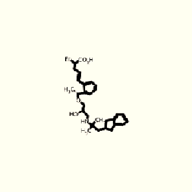 CCC(CC=Cc1ccccc1[C@@H](C)OC[C@H](O)CNC(C)(C)CC1Cc2ccccc2C1)C(=O)O